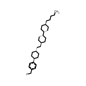 CCCCC[C@H]1CC[C@H]([C@H]2CC[C@H](CC[C@H]3CC[C@H](c4ccc(CF)cc4)CC3)CC2)CC1